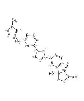 CN1CC[C@@](O)(c2cccc(-c3csc(-c4ccnc(Nc5ccn(C)n5)n4)n3)c2)C1=O